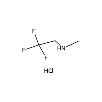 CNCC(F)(F)F.Cl